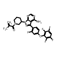 C=C(C(=O)N1CCCC(n2nc(-c3ccc(Oc4c(F)c(F)cc(F)c4F)cc3F)c3c(N)ncnc32)C1)C(F)(F)F